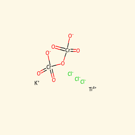 [Cl-].[Cl-].[Cl-].[K+].[O]=[Cr](=[O])([O-])[O][Cr](=[O])(=[O])[O-].[Ti+4]